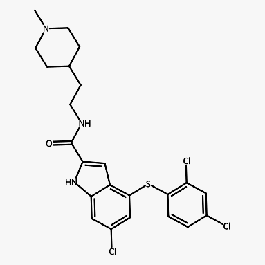 CN1CCC(CCNC(=O)c2cc3c(Sc4ccc(Cl)cc4Cl)cc(Cl)cc3[nH]2)CC1